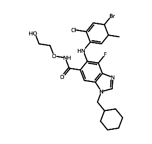 CC1C=C(Nc2c(C(=O)NOCCO)cc3c(ncn3CC3CCCCC3)c2F)C(Cl)=CC1Br